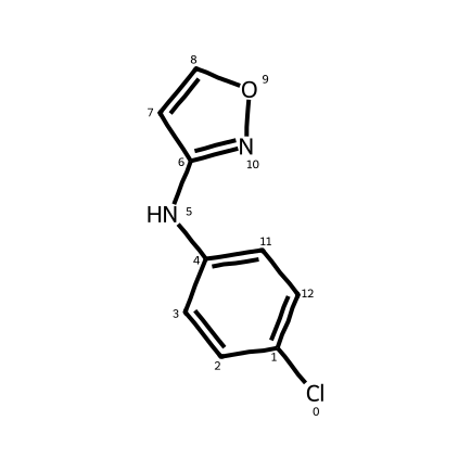 Clc1ccc(Nc2ccon2)cc1